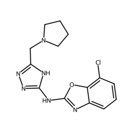 Clc1cccc2nc(Nc3nnc(CN4CCCC4)[nH]3)oc12